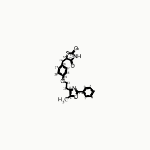 Cc1oc(-c2ccccc2)nc1CCOc1ccc(CC2SC(=O)NC2=O)cc1